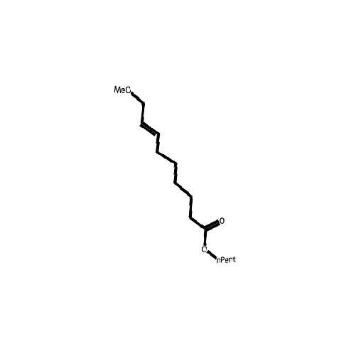 CCCCCOC(=O)CCCCCC=CCOC